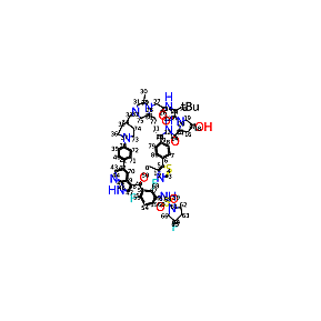 Cc1ncsc1-c1ccc([C@H](C)NC(=O)[C@@H]2C[C@@H](O)CN2C(=O)[C@@H](NC(=O)CN2[C@H](C)CN(CC3CCN(c4ccc(-c5cnc6[nH]cc(C(=O)c7c(F)ccc(NS(=O)(=O)N8CC[C@@H](F)C8)c7F)c6c5)cc4)CC3)C[C@@H]2C)C(C)(C)C)cc1